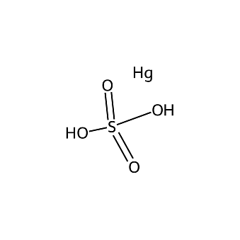 O=S(=O)(O)O.[Hg]